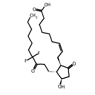 CCCCCCC(F)(F)C(=O)CC[C@H]1[C@H](O)CC(=O)[C@@H]1C/C=C\CCCCCC(=O)O